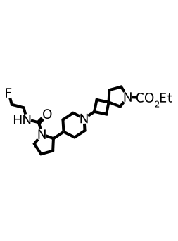 CCOC(=O)N1CCC2(CC(N3CCC(C4CCCN4C(=O)NCCF)CC3)C2)C1